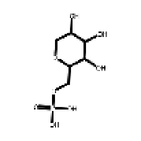 O=P(O)(O)OCC1OCC(O)C(O)C1O